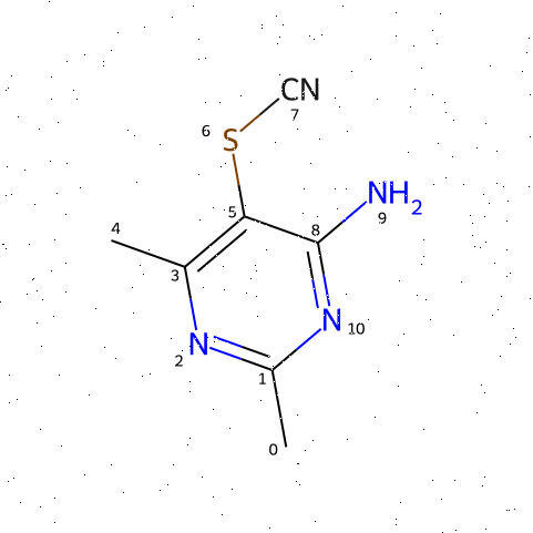 Cc1nc(C)c(SC#N)c(N)n1